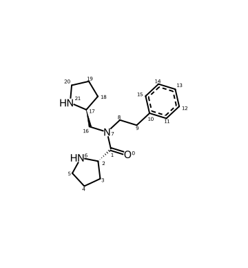 O=C([C@@H]1CCCN1)N(CCc1ccccc1)C[C@@H]1CCCN1